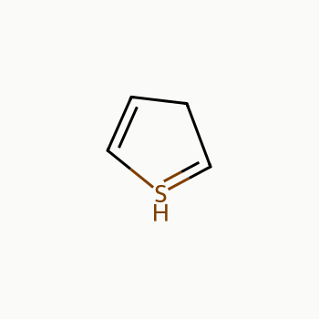 C1=C[SH]=CC1